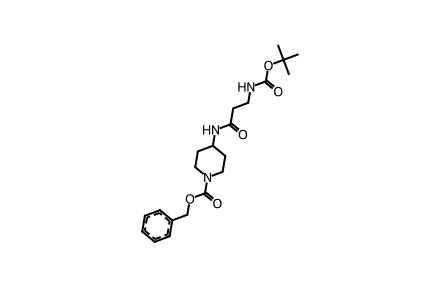 CC(C)(C)OC(=O)NCCC(=O)NC1CCN(C(=O)OCc2ccccc2)CC1